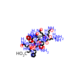 CC(=O)N[C@@H](CCC(N)=O)C(=O)N[C@@H](CCC(N)=O)C(=O)N[C@@H](CCCNC(=N)N)C(=O)N[C@@H](Cc1ccccc1)C(=O)N[C@@H](CCC(N)=O)C(=O)N[C@@H](Cc1c[nH]c2ccccc12)C(=O)N[C@@H](CCC(N)=O)C(=O)N[C@@H](Cc1ccccc1)C(=O)N[C@@H](CCC(=O)O)C(=O)N[C@@H](CCC(N)=O)C(=O)N[C@@H](CCC(N)=O)C(N)=O